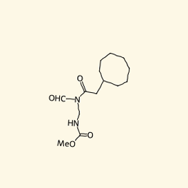 COC(=O)NCN(C=O)C(=O)CC1CCCCCCC1